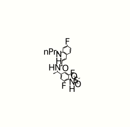 CCCNc1cc(F)ccc1C=CC(=O)N[C@H](C)c1cc(F)c(NS(C)(=O)=O)c(F)c1